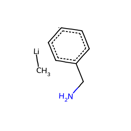 NCc1cc[c]cc1.[Li][CH3]